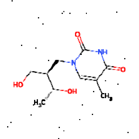 Cc1cn(C[C@H](CO)[C@@H](C)O)c(=O)[nH]c1=O